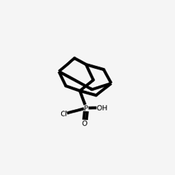 O=P(O)(Cl)C12CC3CC(CC(C3)C1)C2